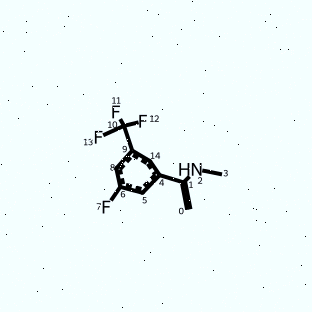 C=C(NC)c1cc(F)cc(C(F)(F)F)c1